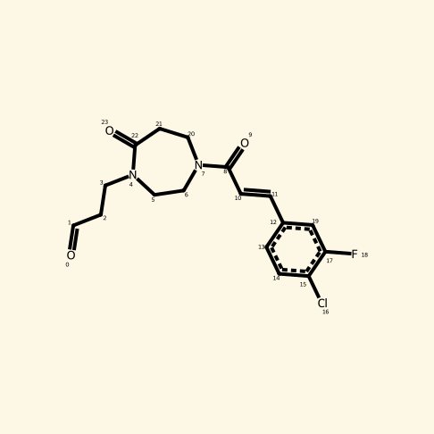 O=CCCN1CCN(C(=O)C=Cc2ccc(Cl)c(F)c2)CCC1=O